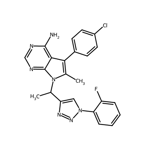 Cc1c(-c2ccc(Cl)cc2)c2c(N)ncnc2n1C(C)c1cn(-c2ccccc2F)nn1